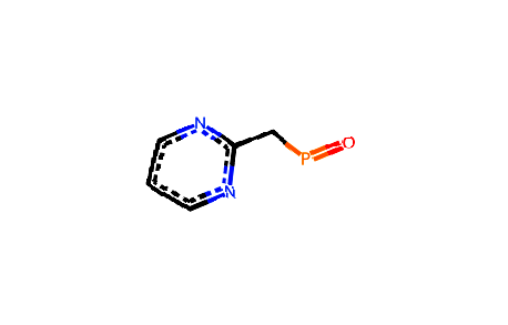 O=PCc1ncccn1